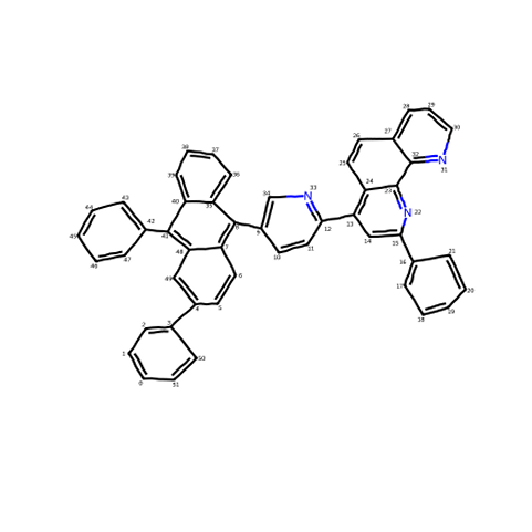 c1ccc(-c2ccc3c(-c4ccc(-c5cc(-c6ccccc6)nc6c5ccc5cccnc56)nc4)c4ccccc4c(-c4ccccc4)c3c2)cc1